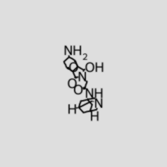 NC1CC2OC1C1C2C(=O)N(CC(=O)N[C@@]23C[C@@H]4C[C@@H](C[N@](C4)C2)C3)C1O